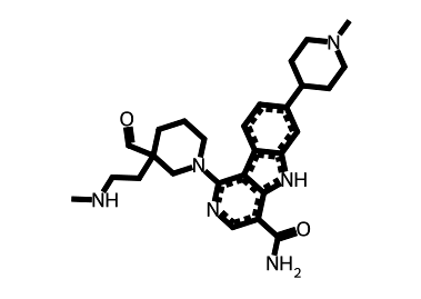 CNCCC1(C=O)CCCN(c2ncc(C(N)=O)c3[nH]c4cc(C5CCN(C)CC5)ccc4c23)C1